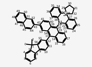 CC1(C)c2ccccc2-c2ccc(-c3c4ccccc4c(N4c5ccccc5[Si]5(CCCC5)c5ccccc54)c4ccc(-c5ccc6ccccc6c5)cc34)cc21